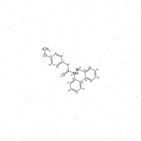 COc1ccc(CC(=O)Nc2ccccc2-c2ccccc2Br)cc1